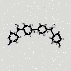 Cc1ccc(C(=O)c2ccc(-c3ccc(C(=O)c4ccc(C)cc4)cc3)cc2)cc1